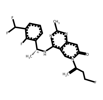 C=C(CCF)n1cc2c(N[C@H](C)c3cccc(C(F)F)c3F)nc(C)nc2cc1=O